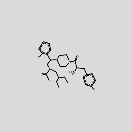 CCC(CC)CN(CC(c1ccccc1F)N1CCN(C(=O)[C@H](N)Cc2ccc(Cl)cc2)CC1)C(C)=O